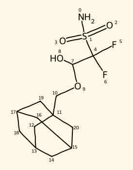 NS(=O)(=O)C(F)(F)C(O)OCC12CC3CC(CC(C3)C1)C2